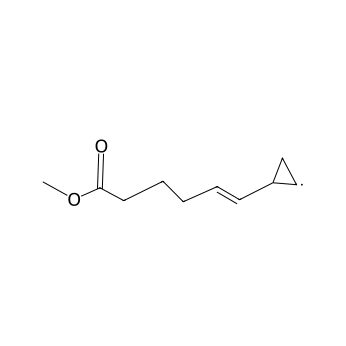 COC(=O)CCCC=CC1[CH]C1